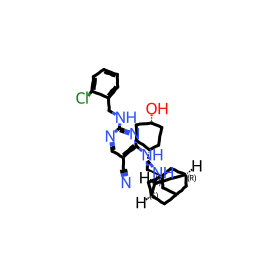 N#Cc1cnc(NCc2ccccc2Cl)nc1NC[C@]12CC3C[C@H](C1)[C@@H](NC[C@H]1CC[C@@H](O)CC1)[C@@H](C3)C2